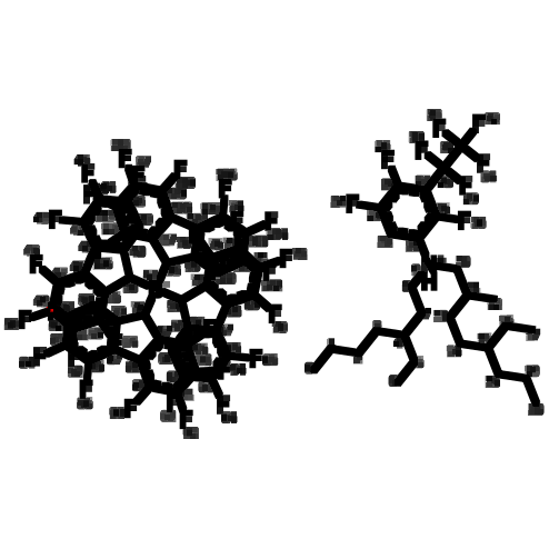 CCCCC(CC)CC[NH+](CC(C)CCC(CC)CCC)c1cc(F)c(F)c(C(F)(F)C(F)(F)F)c1F.Fc1cc2c(c(F)c1F)-c1c(F)c(F)c(F)c(F)c1C2[B-](C1c2cc(F)c(F)c(F)c2-c2c(F)c(F)c(F)c(F)c21)(C1c2cc(F)c(F)c(F)c2-c2c(F)c(F)c(F)c(F)c21)C1c2cc(F)c(F)c(F)c2-c2c(F)c(F)c(F)c(F)c21